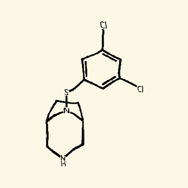 Clc1cc(Cl)cc(SN2C3CCC2CNC3)c1